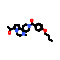 CCCCOc1ccc(C(=O)N2CCC3(CC2)c2ccc(C(C)=O)n2CCN3C)cc1